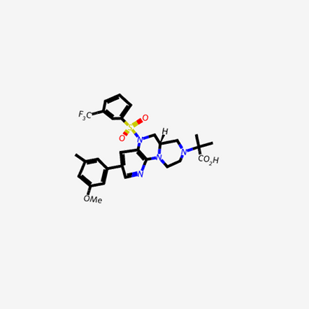 COc1cc(C)cc(-c2cnc3c(c2)N(S(=O)(=O)c2cccc(C(F)(F)F)c2)C[C@@H]2CN(C(C)(C)C(=O)O)CCN32)c1